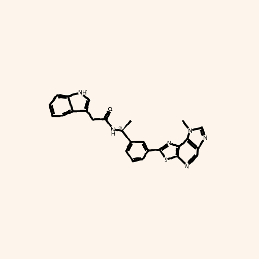 C[C@H](NC(=O)Cc1c[nH]c2ccccc12)c1cccc(-c2nc3c(ncc4ncn(C)c43)s2)c1